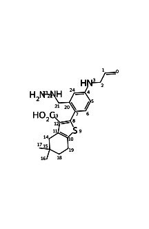 C=CCNc1ccc(-c2sc3c(c2C(=O)O)CC(C)(C)CC3)c(CNN)c1